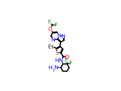 CCc1sc(C(=O)N[C@@H]2[C@H](N)CCCC2(F)F)cc1-c1cnn2cc(OC(F)F)cnc12